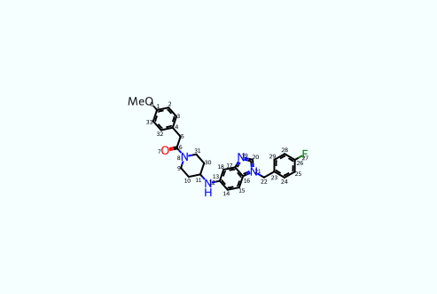 COc1ccc(CC(=O)N2CCC(Nc3ccc4c(c3)ncn4Cc3ccc(F)cc3)CC2)cc1